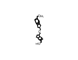 OCC1CC2CC1C1CC(COCC3CCC4C5CC(CC5CO)C34)CC21